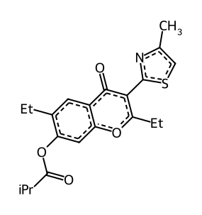 CCc1cc2c(=O)c(-c3nc(C)cs3)c(CC)oc2cc1OC(=O)C(C)C